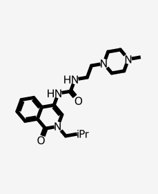 CC(C)Cn1cc(NC(=O)NCCN2CCN(C)CC2)c2ccccc2c1=O